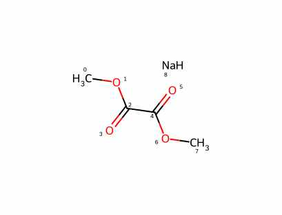 COC(=O)C(=O)OC.[NaH]